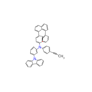 CC#Cc1ccc(N(c2ccc(-c3cccc4cccc(-c5ccccc5)c34)cc2)c2cccc(-n3c4ccccc4c4ccccc43)c2)cc1